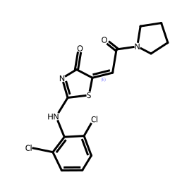 O=C1N=C(Nc2c(Cl)cccc2Cl)S/C1=C/C(=O)N1CCCC1